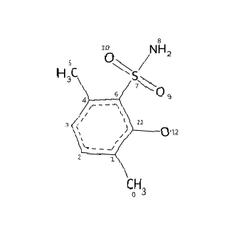 Cc1ccc(C)c(S(N)(=O)=O)c1[O]